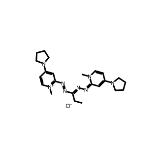 CCC(N=Nc1cc(N2CCCC2)cc[n+]1C)=NN=c1cc(N2CCCC2)ccn1C.[Cl-]